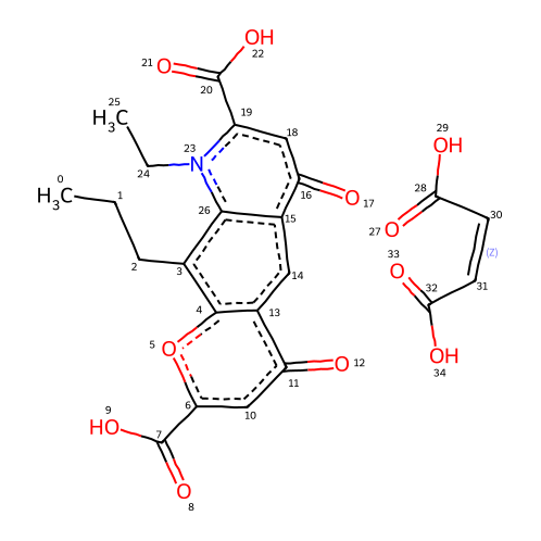 CCCc1c2oc(C(=O)O)cc(=O)c2cc2c(=O)cc(C(=O)O)n(CC)c12.O=C(O)/C=C\C(=O)O